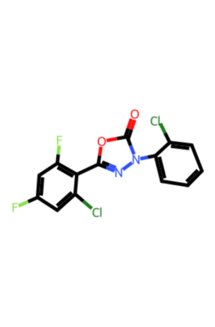 O=c1oc(-c2c(F)cc(F)cc2Cl)nn1-c1ccccc1Cl